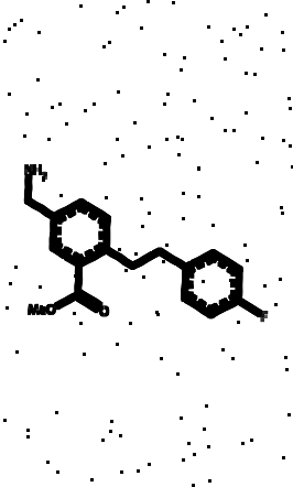 COC(=O)c1cc(CN)ccc1CCc1ccc(F)cc1